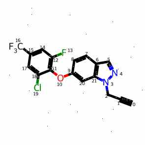 C#CCn1ncc2ccc(Oc3c(F)cc(C(F)(F)F)cc3Cl)cc21